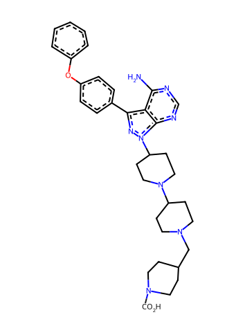 Nc1ncnc2c1c(-c1ccc(Oc3ccccc3)cc1)nn2C1CCN(C2CCN(CC3CCN(C(=O)O)CC3)CC2)CC1